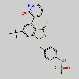 CC(C)(C)c1cc(-c2ccc[nH]c2=O)c2c(c1)C(Cc1ccc(NS(C)(=O)=O)cc1)OC2=O